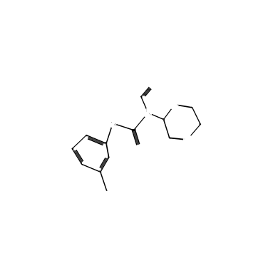 Cc1cccc(NC(=O)N(C=O)C2COCCO2)c1